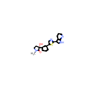 CN1CC[C@@](O)(c2cccc(-c3cnc(-c4c[nH]c5ncccc45)s3)c2)C1=O